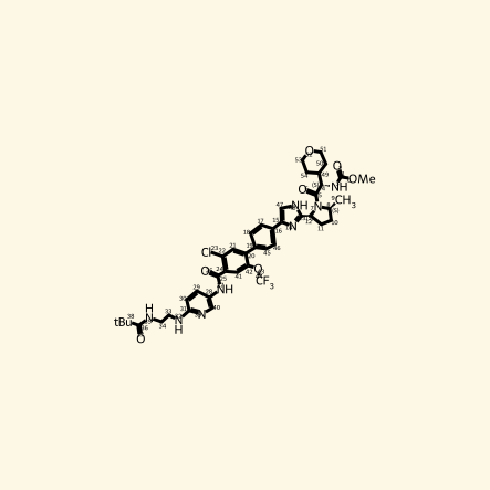 COC(=O)N[C@H](C(=O)N1[C@@H](C)CC[C@H]1c1nc(-c2ccc(-c3cc(Cl)c(C(=O)Nc4ccc(NCCNC(=O)C(C)(C)C)nc4)cc3OC(F)(F)F)cc2)c[nH]1)C1CCOCC1